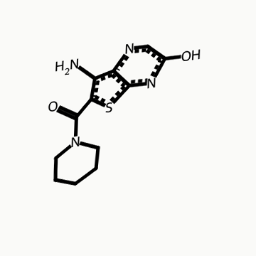 Nc1c(C(=O)N2CCCCC2)sc2nc(O)cnc12